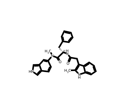 Cc1[nH]c2ccccc2c1CC(=O)N[C@@H](Cc1ccccc1)C(=O)N(C)c1ccc2c[nH]cc2c1